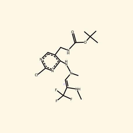 CN/C(=C\N(C)Nc1nc(Cl)ncc1CNC(=O)OC(C)(C)C)C(F)(F)F